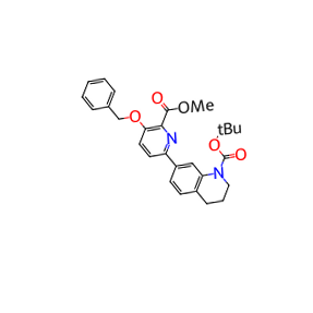 COC(=O)c1nc(-c2ccc3c(c2)N(C(=O)OC(C)(C)C)CCC3)ccc1OCc1ccccc1